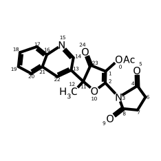 CC(=O)OC1=C(N2C(=O)CCC2=O)OC(C)(c2cnc3ccccc3c2)C1=O